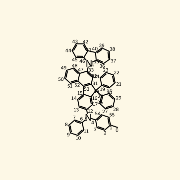 Cc1ccc(N(c2ccccc2)c2ccc3c(c2)C(c2ccccc2)(c2ccccc2)c2cc(-n4c5ccccc5c5ccccc54)c4ccccc4c2-3)cc1